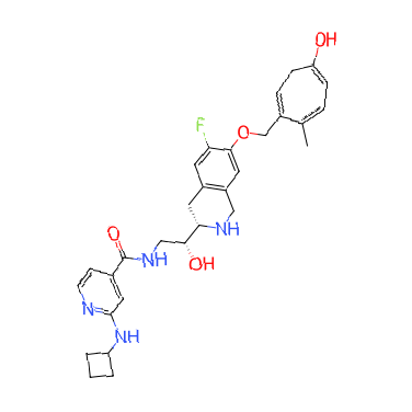 CC1=CC=C(O)CC=C1COc1cc2c(cc1F)C[C@@H]([C@H](O)CNC(=O)c1ccnc(NC3CCC3)c1)NC2